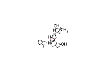 Cc1cc(C)nc(N2C[C@H]3CC45CCC2C3C42CCN(CCc3ccccc3F)C5Cc3ccc(O)cc32)n1